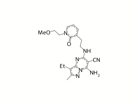 CCc1c(C)nn2c(N)c(C#N)c(NCCc3cccn(CCOC)c3=O)nc12